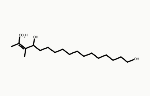 CC(C(=O)O)=C(C)C(O)CCCCCCCCCCCCCO